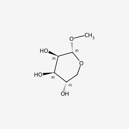 CO[C@@H]1OC[C@H](O)[C@@H](O)[C@H]1O